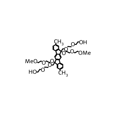 COCCOCCOC1(COCCOCCO)c2cc(C)ccc2-c2cc3c(cc21)-c1ccc(C)cc1C3(COCCOCCO)OCCOCCOC